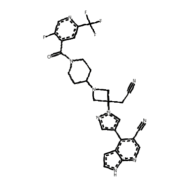 N#CCC1(n2cc(-c3c(C#N)cnc4[nH]ccc34)cn2)CN(C2CCN(C(=O)c3cc(C(F)(F)F)ncc3F)CC2)C1